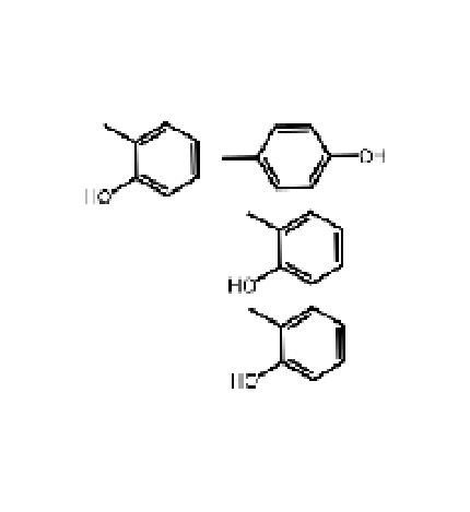 Cc1ccc(O)cc1.Cc1ccccc1O.Cc1ccccc1O.Cc1ccccc1O